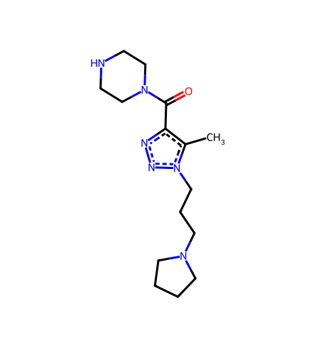 Cc1c(C(=O)N2CCNCC2)nnn1CCCN1CCCC1